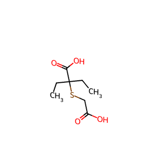 CCC(CC)(SCC(=O)O)C(=O)O